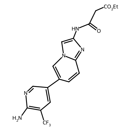 CCOC(=O)CC(=O)Nc1cn2cc(-c3cnc(N)c(C(F)(F)F)c3)ccc2n1